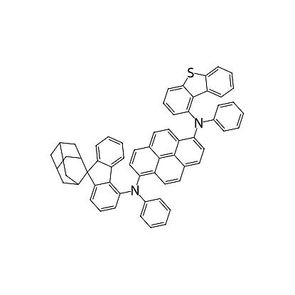 c1ccc(N(c2cccc3c2-c2ccccc2C32C3CC4CC(C3)CC2C4)c2ccc3ccc4c(N(c5ccccc5)c5cccc6sc7ccccc7c56)ccc5ccc2c3c54)cc1